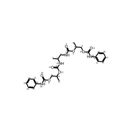 CC(CNC(=O)OC(C)COC(=O)Nc1ccccc1)NC(=O)OC(C)COC(=O)Nc1ccccc1